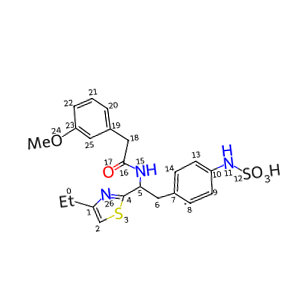 CCc1csc(C(Cc2[c]cc(NS(=O)(=O)O)cc2)NC(=O)Cc2cccc(OC)c2)n1